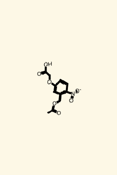 CC(=O)OCc1cc(OCC(=O)O)ccc1[N+](=O)[O-]